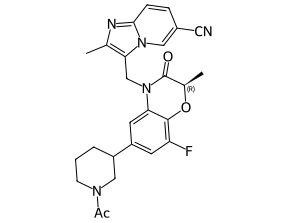 CC(=O)N1CCCC(c2cc(F)c3c(c2)N(Cc2c(C)nc4ccc(C#N)cn24)C(=O)[C@@H](C)O3)C1